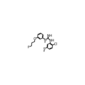 CSc1ccc(Cl)c(NC(=N)N(C)c2cccc(OCCCF)c2)c1